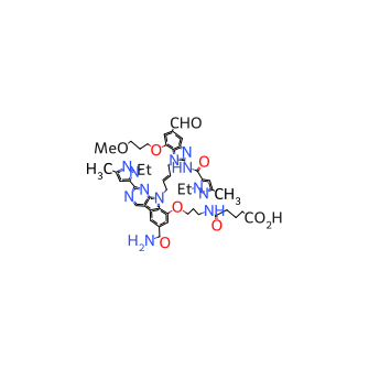 CCn1nc(C)cc1C(=O)Nc1nc2cc(C=O)cc(OCCCOC)c2n1C/C=C/Cn1c2nc(-c3cc(C)nn3CC)ncc2c2cc(C(N)=O)cc(OCCCNC(=O)CCCC(=O)O)c21